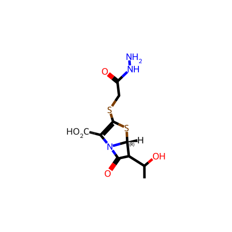 CC(O)C1C(=O)N2C(C(=O)O)=C(SCC(=O)NN)S[C@H]12